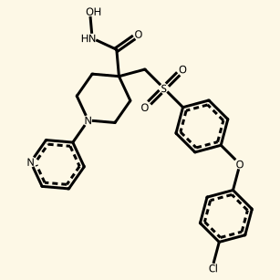 O=C(NO)C1(CS(=O)(=O)c2ccc(Oc3ccc(Cl)cc3)cc2)CCN(c2cccnc2)CC1